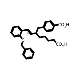 O=C(O)CCCCC(/C=C/c1ccccc1SCc1ccccc1)Cc1ccc(C(=O)O)cc1